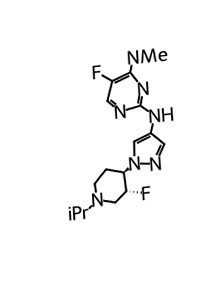 CNc1nc(Nc2cnn([C@@H]3CCN(C(C)C)C[C@H]3F)c2)ncc1F